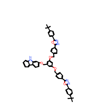 CC(C)(C)c1ccc(-c2nnc(-c3ccc(COc4cc(COc5ccc6c(c5)[nH]c5ccccc56)cc(OCc5ccc(-c6nnc(-c7ccc(C(C)(C)C)cc7)o6)cc5)c4)cc3)o2)cc1